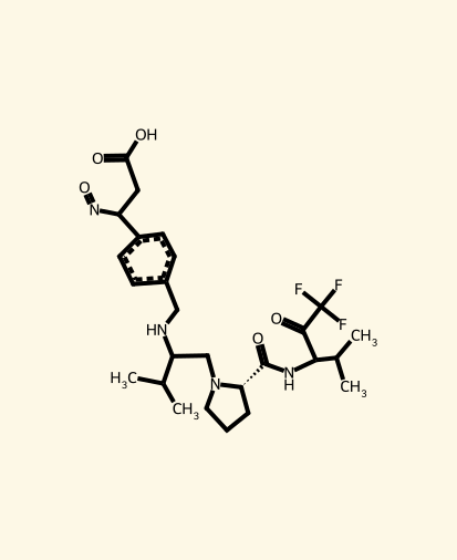 CC(C)C(CN1CCC[C@H]1C(=O)NC(C(=O)C(F)(F)F)C(C)C)NCc1ccc(C(CC(=O)O)N=O)cc1